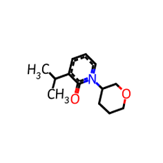 CC(C)c1cccn(C2CCCOC2)c1=O